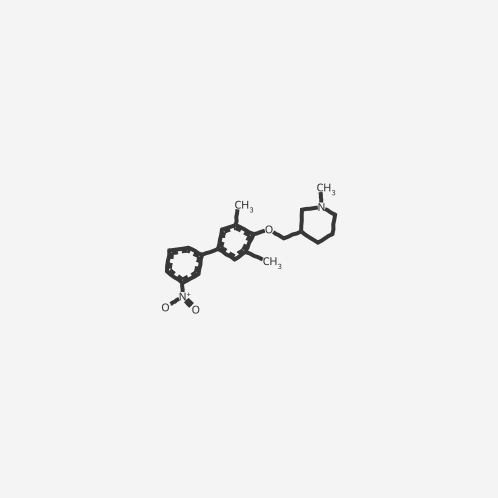 Cc1cc(-c2cccc([N+](=O)[O-])c2)cc(C)c1OCC1CCCN(C)C1